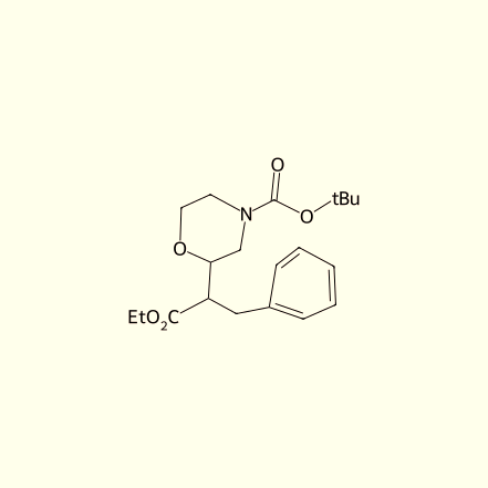 CCOC(=O)C(Cc1ccccc1)C1CN(C(=O)OC(C)(C)C)CCO1